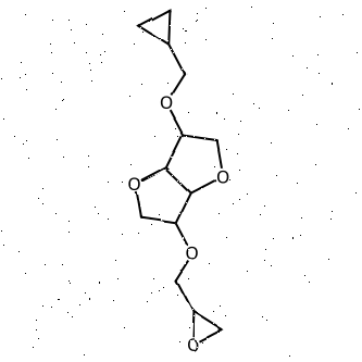 C1CC1COC1COC2C(OCC3CO3)COC12